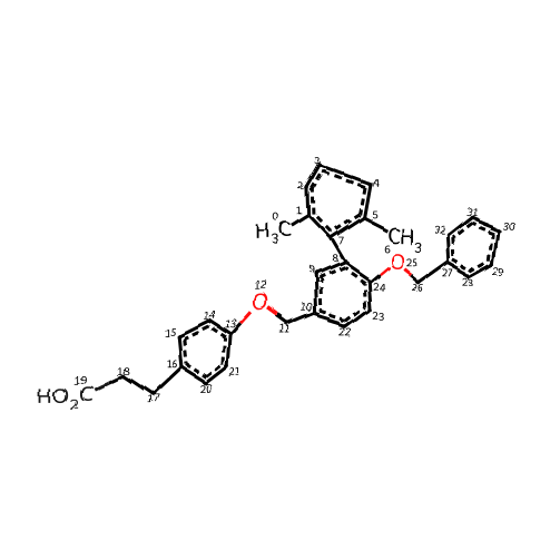 Cc1cccc(C)c1-c1cc(COc2ccc(CCC(=O)O)cc2)ccc1OCc1ccccc1